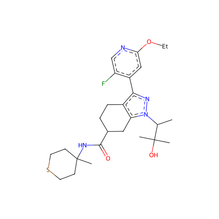 CCOc1cc(-c2nn(C(C)C(C)(C)O)c3c2CCC(C(=O)NC2(C)CCSCC2)C3)c(F)cn1